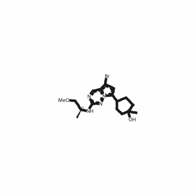 COC[C@H](C)Nc1ncc2c(Br)cc(C3CCC(C)(O)CC3)n2n1